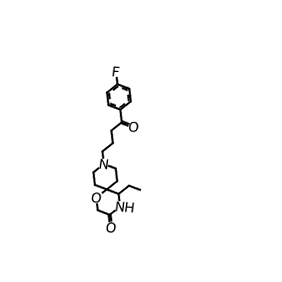 CCC1NC(=O)COC12CCN(CCCC(=O)c1ccc(F)cc1)CC2